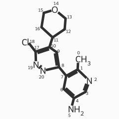 Cc1ncc(N)cc1-c1cc(C2CCOCC2)c(Cl)nn1